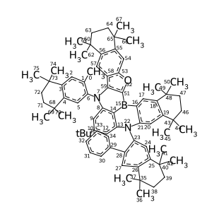 Cc1cc2c(cc1N1c3cc(C(C)(C)C)cc4c3B(c3cc5c(cc3N4c3cc4c(cc3-c3ccccc3)C(C)(C)CCC4(C)C)C(C)(C)CCC5(C)C)c3oc4cc5c(cc4c31)C(C)(C)CCC5(C)C)C(C)(C)CCC2(C)C